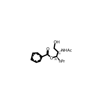 CCC[C@@H](OC(=O)c1ccccc1)[C@H](CO)NC(C)=O